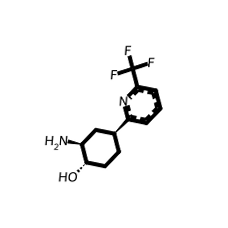 N[C@H]1C[C@@H](c2cccc(C(F)(F)F)n2)CC[C@@H]1O